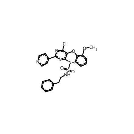 COc1ccccc1Oc1c(Cl)nc(-c2ccncc2)nc1NS(=O)(=O)NCCc1ccccc1